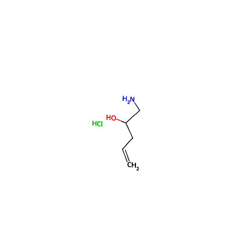 C=CCC(O)CN.Cl